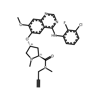 C#CCN(C)C(=O)[C@@H]1C[C@@H](Oc2cc3c(Nc4cccc(Cl)c4F)ncnc3cc2OC)CN1C